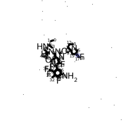 CC[C@@H]1CN2c3nc(OC[C@@]45CCCN4C/C(=C\F)C5)nc4c(F)c(-c5cc(N)c(F)c(C)c5C(F)(F)F)nc(c34)O[C@@H](C)[C@@H]2CN1